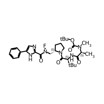 C[C@@H](C(=O)N[C@H](C(=O)N1CCC[C@H]1CN(F)C(=O)c1ncc(-c2ccccc2)[nH]1)C(C)(C)C)N(C)C(=O)OC(C)(C)C